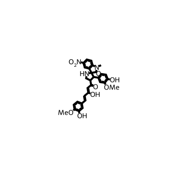 COc1ccc(C=CC(O)=CC(=O)C2CNC3(C(=O)N(C)c4ccc([N+](=O)[O-])cc43)C2c2ccc(O)c(OC)c2)cc1O